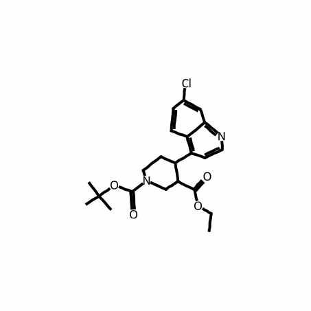 CCOC(=O)C1CN(C(=O)OC(C)(C)C)CCC1c1ccnc2cc(Cl)ccc12